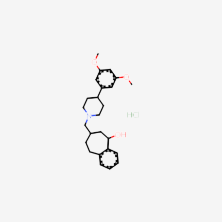 COc1cc(OC)cc(C2CCN(CC3CCc4ccccc4C(O)C3)CC2)c1.Cl